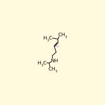 CC(C)/C=C/CCNC(C)C